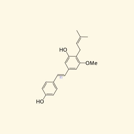 COc1cc(/C=C/c2ccc(O)cc2)cc(O)c1CC=C(C)C